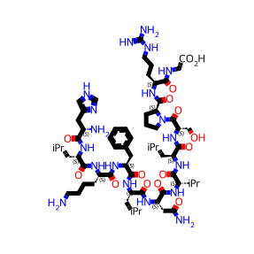 CC(C)C[C@H](NC(=O)[C@H](Cc1ccccc1)NC(=O)[C@H](CCCCN)NC(=O)[C@H](CC(C)C)NC(=O)[C@@H](N)Cc1c[nH]cn1)C(=O)N[C@@H](CC(N)=O)C(=O)N[C@H](C(=O)N[C@@H](CC(C)C)C(=O)N[C@@H](CO)C(=O)N1CCC[C@H]1C(=O)N[C@@H](CCCNC(=N)N)C(=O)NCC(=O)O)C(C)C